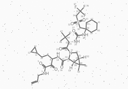 C=CCNC(=O)C(=O)C(CCC1CC1)NC(=O)[C@@H]1[C@@H]2[C@H](CN1C(=O)[C@@H](NC(=O)NC1(CS(=O)(=O)CC(F)(F)F)CCCCC1)C(C)(C)C)C2(C)C